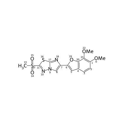 COc1ccc2cc(-c3cn4nc(S(C)(=O)=O)sc4n3)oc2c1OC